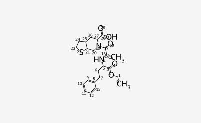 CCOC(=O)C(CCc1ccccc1)N[C@@H](C)C(=O)N1CC2SCCC2CC1C(=O)O